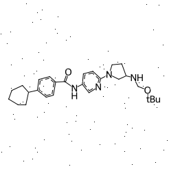 CC(C)(C)OCNC1CCN(c2ccc(NC(=O)c3ccc(C4CCCCC4)cc3)cn2)C1